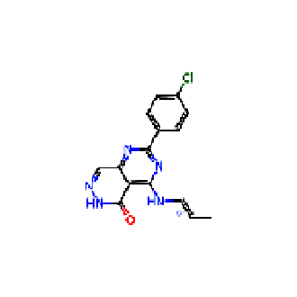 C/C=C/Nc1nc(-c2ccc(Cl)cc2)nc2cn[nH]c(=O)c12